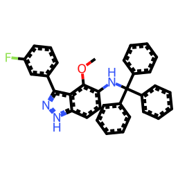 COc1c(NC(c2ccccc2)(c2ccccc2)c2ccccc2)ccc2[nH]nc(-c3cccc(F)c3)c12